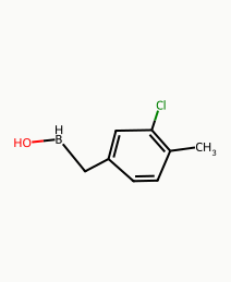 Cc1ccc(CBO)cc1Cl